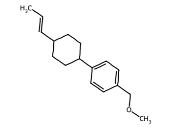 CC=CC1CCC(c2ccc(COC)cc2)CC1